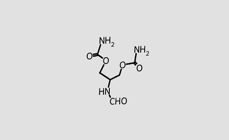 NC(=O)OCC(COC(N)=O)NC=O